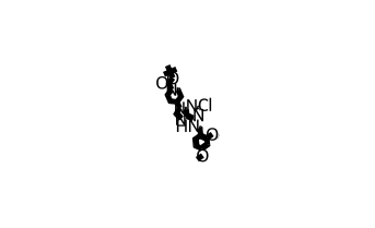 COc1ccc(CNc2nc(Cl)nc3c2ncn3C2CCN(C(=O)OC(C)(C)C)CC2)c(OC)c1